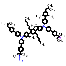 CCCCCCc1cc(-c2ccc(N(c3ccc(-c4ccc(C(C)(I)CC)cc4)cc3)c3ccc(-c4c(C)cc(CC(C)C)cc4C)cc3)cc2C)c(CCCCCC)cc1-c1ccc(N(c2ccc(-c3ccc(CC(C)C)cc3)cc2)c2ccc(-c3ccc(C(C)(N)CC)cc3)cc2)cc1C